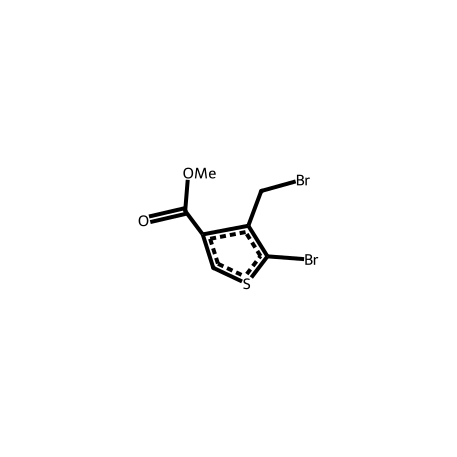 COC(=O)c1csc(Br)c1CBr